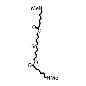 CNCCCCCC(=O)OCCC[CH2][Sn][CH2]CCCOC(=O)CCCCCNC